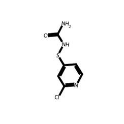 NC(=O)NSc1ccnc(Cl)c1